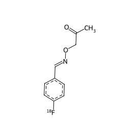 CC(=O)CO/N=C/c1ccc([18F])cc1